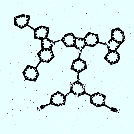 N#Cc1ccc(-c2nc(-c3ccc(C#N)cc3)nc(-c3ccc(-n4c5cc(-n6c7ccccc7c7ccccc76)ccc5c5ccc(-n6c7ccc(-c8ccccc8)cc7c7cc(-c8ccccc8)ccc76)cc54)cc3)n2)cc1